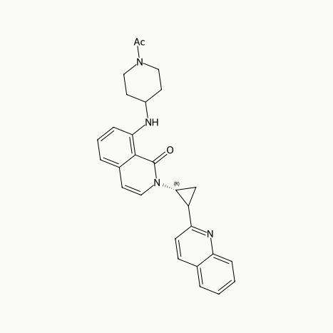 CC(=O)N1CCC(Nc2cccc3ccn([C@@H]4CC4c4ccc5ccccc5n4)c(=O)c23)CC1